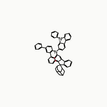 c1ccc(-c2ccc(N(c3ccc4c(c3)-c3ccccc3C43C4CC5CC(C4)CC3C5)c3ccc4c5ccccc5n(-c5ccccc5)c4c3)c(-c3ccccc3)c2)cc1